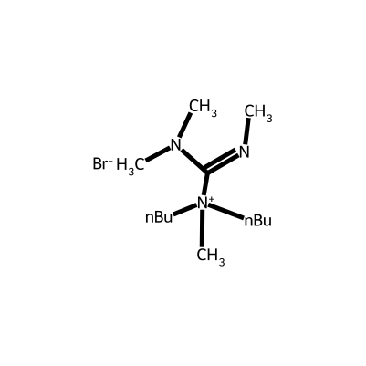 CCCC[N+](C)(CCCC)C(=NC)N(C)C.[Br-]